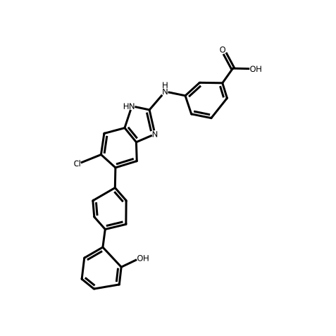 O=C(O)c1cccc(Nc2nc3cc(-c4ccc(-c5ccccc5O)cc4)c(Cl)cc3[nH]2)c1